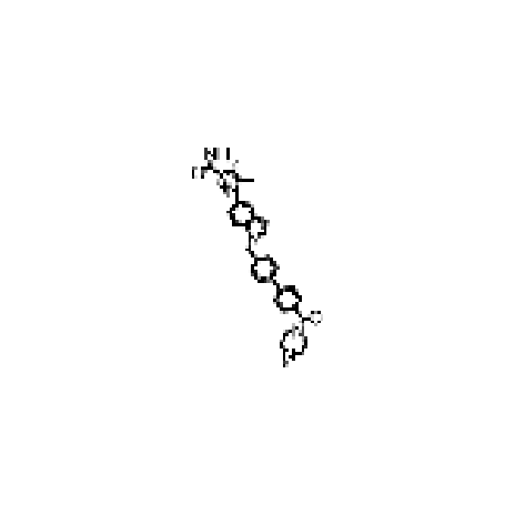 Cc1cc(C(N)=O)nn1-c1ccc2c(ccn2Cc2ccc(-c3ccc(C(=O)N4CCN(C)CC4)cc3)cc2)c1